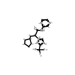 O=C(Nc1cnccn1)C(CC1CCCC1)n1cnc(C(F)(F)F)n1